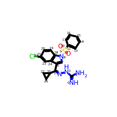 N=C(N)N/N=C(\c1cn(S(=O)(=O)c2ccccc2)c2ccc(Cl)cc12)C1CC1